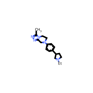 CCN1CCC(c2ccc(N3CCn4c(C)nnc4C3)cc2)C1